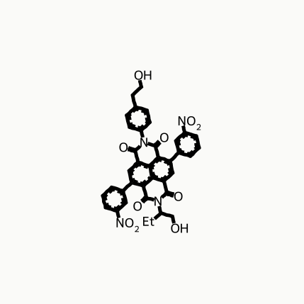 CCC(CO)N1C(=O)c2cc(-c3cccc([N+](=O)[O-])c3)c3c4c(cc(-c5cccc([N+](=O)[O-])c5)c(c24)C1=O)C(=O)N(c1ccc(CCO)cc1)C3=O